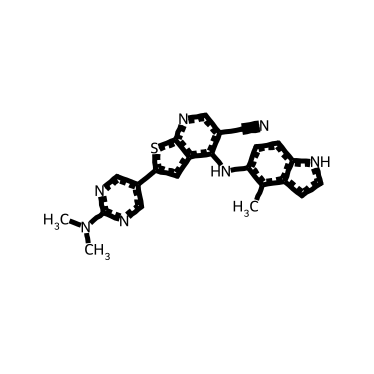 Cc1c(Nc2c(C#N)cnc3sc(-c4cnc(N(C)C)nc4)cc23)ccc2[nH]ccc12